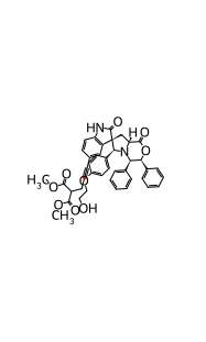 COC(=O)C(CC#Cc1ccc2c(c1)[C@]1(C[C@@H]3C(=O)O[C@@H](c4ccccc4)[C@@H](c4ccccc4)N3[C@H]1c1ccc(OCCO)cc1)C(=O)N2)C(=O)OC